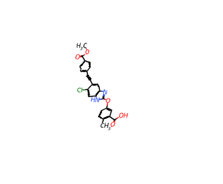 COC(=O)c1ccc(C#Cc2cc3nc(Oc4ccc(C)c(C(=O)O)c4)[nH]c3cc2Cl)cc1